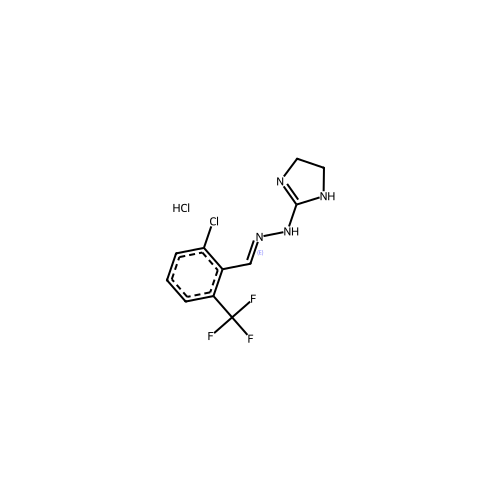 Cl.FC(F)(F)c1cccc(Cl)c1/C=N/NC1=NCCN1